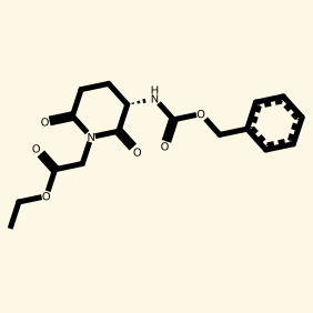 CCOC(=O)CN1C(=O)CC[C@H](NC(=O)OCc2ccccc2)C1=O